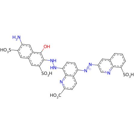 Nc1cc2c(O)c(NNc3ccc(/N=N/c4cnc5c(S(=O)(=O)O)cccc5c4)c4ccc(C(=O)O)nc34)c(S(=O)(=O)O)cc2cc1S(=O)(=O)O